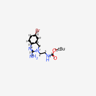 CC(C)(C)OC(=O)NCCN1Cc2cc(Br)ccc2N=C1N